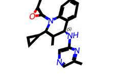 Cc1cncc(N[C@@H]2c3ccccc3N(C3OC3C)C(C3CC3)C2C)n1